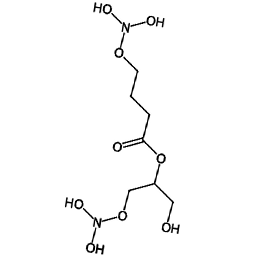 O=C(CCCON(O)O)OC(CO)CON(O)O